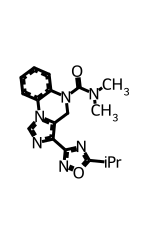 CC(C)c1nc(-c2ncn3c2CN(C(=O)N(C)C)c2ccccc2-3)no1